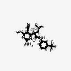 CSc1nc(N)nc([C@](N)(CN(C)C)C(=O)Nc2cccc(C(F)(F)F)c2)c1C#N